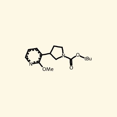 COc1ncccc1C1CCN(C(=O)OC(C)(C)C)C1